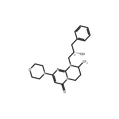 O=c1cc(N2CCOCC2)nc2n1CCC(C(F)(F)F)N2C[C@@H](O)Cc1ccccc1